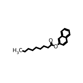 CCCCCCCCC(=O)Oc1ccc2ccccc2c1